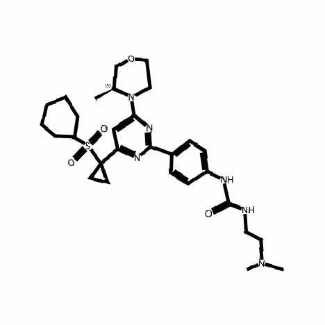 C[C@H]1COCCN1c1cc(C2(S(=O)(=O)C3CCCCC3)CC2)nc(-c2ccc(NC(=O)NCCN(C)C)cc2)n1